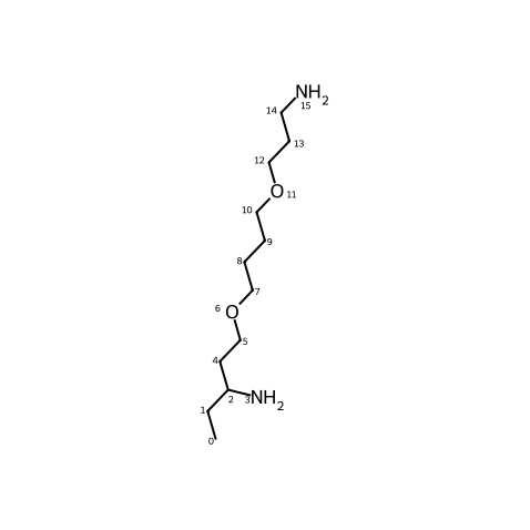 CCC(N)CCOCCCCOCCCN